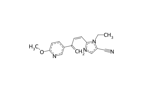 C=C(/C=C\c1ncc(C#N)n1CC)c1ccc(OC)nc1